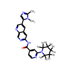 [2H]C1([2H])N(c2cc(C(=O)Nc3cc4cc(-c5cnc(C)n5C)cnc4cn3)ccn2)C([2H])([2H])C([2H])([2H])C([2H])([2H])C1([2H])[2H]